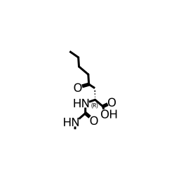 CCCCC(=O)C[C@@H](NC(=O)NC)C(=O)O